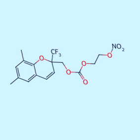 Cc1cc(C)c2c(c1)C=CC(COC(=O)OCCO[N+](=O)[O-])(C(F)(F)F)O2